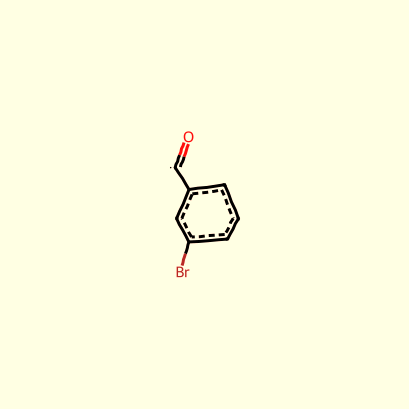 O=[C]c1cccc(Br)c1